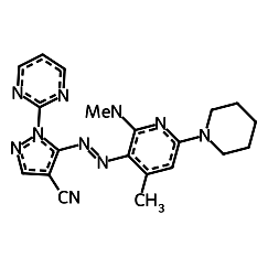 CNc1nc(N2CCCCC2)cc(C)c1/N=N/c1c(C#N)cnn1-c1ncccn1